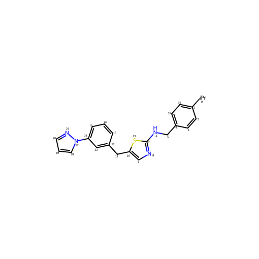 CC(C)c1ccc(CNc2ncc(Cc3cccc(-n4cccn4)c3)s2)cc1